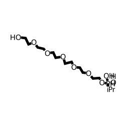 CC(C)[PH](O)(O)OCCOCCOCCOCCOCCOCCO